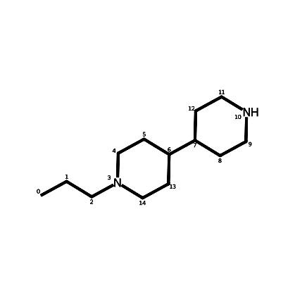 CCCN1CCC(C2CCNCC2)CC1